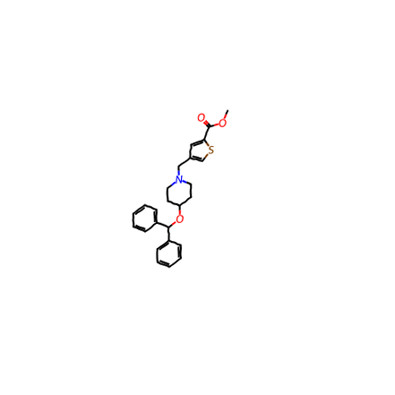 COC(=O)c1cc(CN2CCC(OC(c3ccccc3)c3ccccc3)CC2)cs1